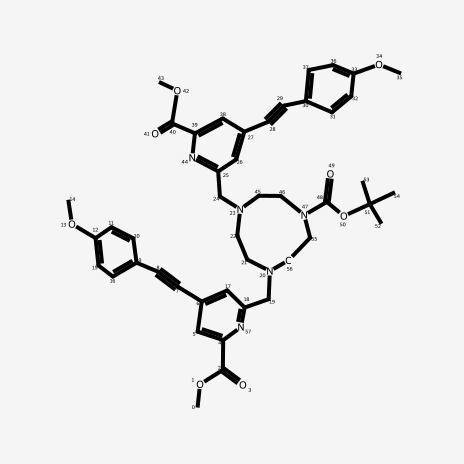 COC(=O)c1cc(C#Cc2ccc(OC)cc2)cc(CN2CCN(Cc3cc(C#Cc4ccc(OC)cc4)cc(C(=O)OC)n3)CCN(C(=O)OC(C)(C)C)CC2)n1